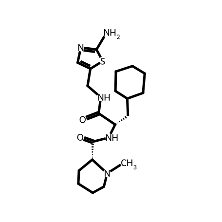 CN1CCCC[C@@H]1C(=O)N[C@@H](CC1CCCCC1)C(=O)NCc1cnc(N)s1